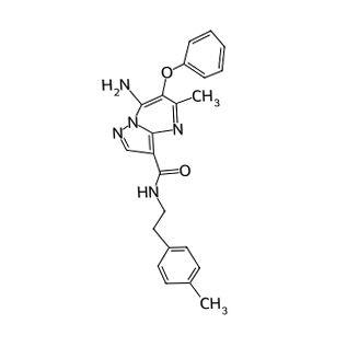 Cc1ccc(CCNC(=O)c2cnn3c(N)c(Oc4ccccc4)c(C)nc23)cc1